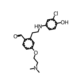 CN(C)CCOc1ccc(C=O)c(CCNc2ccc(O)c(Cl)c2)c1